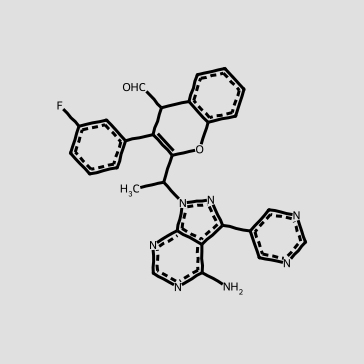 CC(C1=C(c2cccc(F)c2)C(C=O)c2ccccc2O1)n1nc(-c2cncnc2)c2c(N)ncnc21